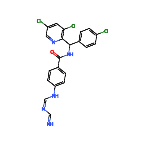 N=C/N=C\Nc1ccc(C(=O)NC(c2ccc(Cl)cc2)c2ncc(Cl)cc2Cl)cc1